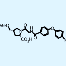 COC[C@H]1C[C@@H](C(=O)O)N(C(=O)CNC(=O)c2ccc(Oc3ccc(F)cc3)cc2)C1